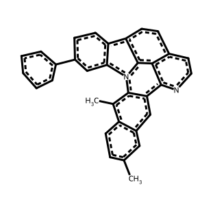 Cc1ccc2c(C)c3c(cc2c1)c1nccc2ccc4c5ccc(-c6ccccc6)cc5n3c4c21